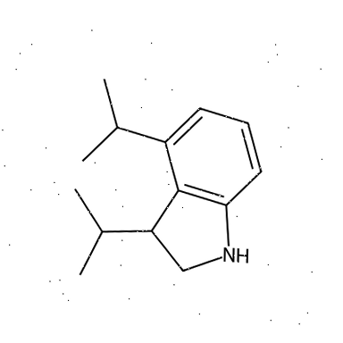 CC(C)c1cccc2c1C(C(C)C)CN2